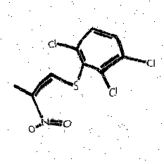 CC(=CSc1c(Cl)ccc(Cl)c1Cl)[N+](=O)[O-]